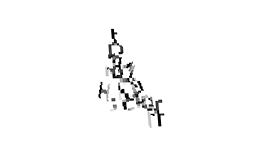 CC(N)C(Oc1ccc2c(cnn2-c2ccc(F)cc2)c1)c1ccc(C(F)(F)F)cc1